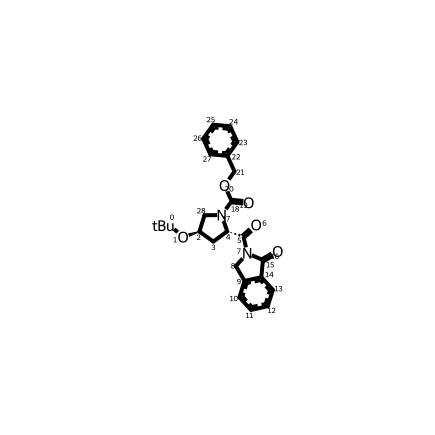 CC(C)(C)O[C@@H]1C[C@@H](C(=O)N2Cc3ccccc3C2=O)N(C(=O)OCc2ccccc2)C1